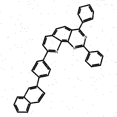 c1ccc(-c2nc(-c3ccccc3)c3ccc4ccc(-c5ccc(-c6ccc7ccccc7c6)cc5)nc4c3n2)cc1